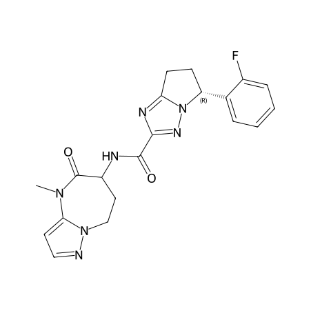 CN1C(=O)C(NC(=O)c2nc3n(n2)[C@@H](c2ccccc2F)CC3)CCn2nccc21